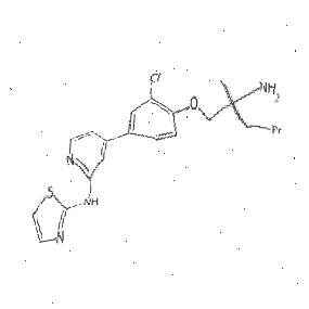 CC(C)CC(C)(N)COc1ccc(-c2ccnc(Nc3nccs3)c2)cc1Cl